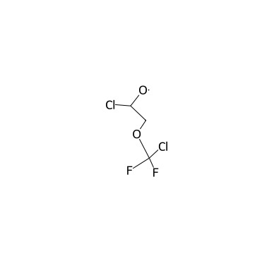 [O]C(Cl)COC(F)(F)Cl